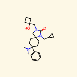 CN(C)[C@]1(c2ccccc2)CC[C@@]2(CC1)CN(CC1(O)CCC1)C(=O)N2CC1CC1